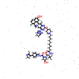 C#Cc1c(F)ccc2cc(O)cc(-c3ncc4c(N5CC6CCC(C5)N6)nc(OC5CCN(CCCCCCCCCC(=O)N[C@H](C(=O)N6C[C@H](O)CC6C(=O)NCc6ccc(-c7scnc7C)cc6)C(C)(C)C)CC5)nc4c3F)c12